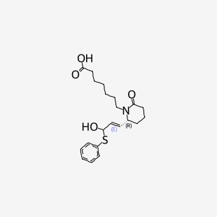 O=C(O)CCCCCCN1C(=O)CCC[C@@H]1/C=C/C(O)Sc1ccccc1